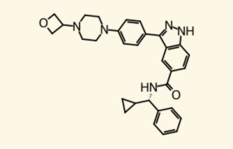 O=C(N[C@H](c1ccccc1)C1CC1)c1ccc2[nH]nc(-c3ccc(N4CCN(C5COC5)CC4)cc3)c2c1